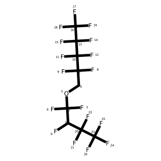 FC(C(F)(F)OCC(F)(F)C(F)(F)C(F)(F)C(F)(F)F)C(F)(F)C(F)(F)F